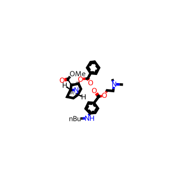 CCCCNc1ccc(C(=O)OCCN(C)C)cc1.COC(=O)[C@H]1[C@@H](OC(=O)c2ccccc2)C[C@@H]2CC[C@H]1N2C